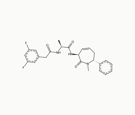 C[C@H](NC(=O)Cc1cc(F)cc(F)c1)C(=O)N[C@H]1C=CC[C@H](c2ccccc2)N(C)C1=O